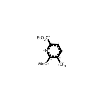 CCOC(=O)c1ccc(C(F)(F)F)c(OC)n1